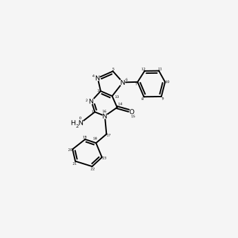 Nc1nc2ncn(-c3ccccc3)c2c(=O)n1Cc1ccccc1